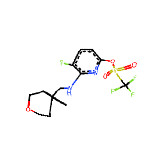 CC1(CNc2nc(OS(=O)(=O)C(F)(F)F)ccc2F)CCOCC1